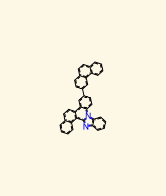 c1ccc2c(c1)ccc1ccc(-c3ccc4c(c3)c3ccc5ccccc5c3c3nc5ccccc5n43)cc12